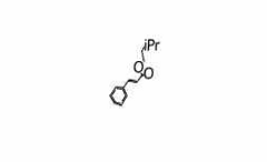 CC(C)CCOC(=O)C=Cc1ccccc1